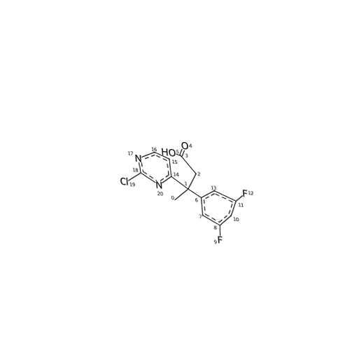 CC(CC(=O)O)(c1cc(F)cc(F)c1)c1ccnc(Cl)n1